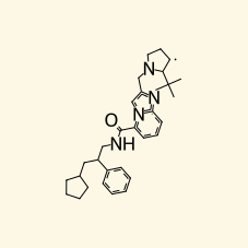 CC(C)(C)C1[CH]CCN1Cc1cn2c(C(=O)NCC(CC3CCCC3)c3ccccc3)cccc2n1